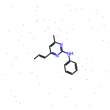 CC=Cc1cc(C)nc(Nc2ccccc2)n1